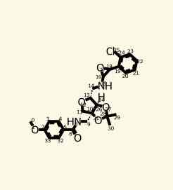 COc1ccc(C(=O)NC[C@]23CO[C@H](CNC4OC4c4ccccc4Cl)[C@H]2OC(C)(C)O3)cc1